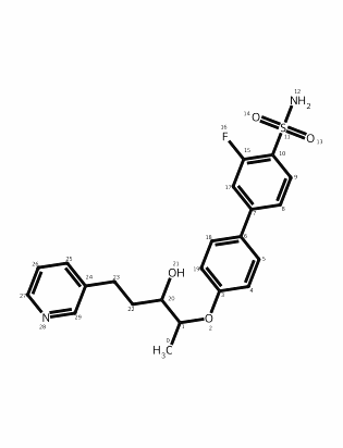 CC(Oc1ccc(-c2ccc(S(N)(=O)=O)c(F)c2)cc1)C(O)CCc1cccnc1